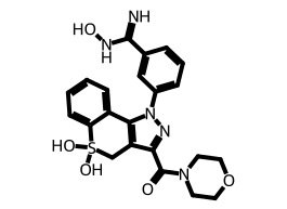 N=C(NO)c1cccc(-n2nc(C(=O)N3CCOCC3)c3c2-c2ccccc2S(O)(O)C3)c1